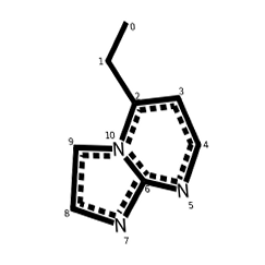 CCc1ccnc2nccn12